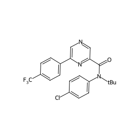 CC(C)(C)N(C(=O)c1cncc(-c2ccc(C(F)(F)F)cc2)n1)c1ccc(Cl)cc1